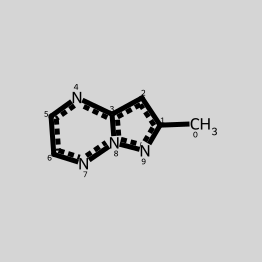 Cc1cc2nccnn2n1